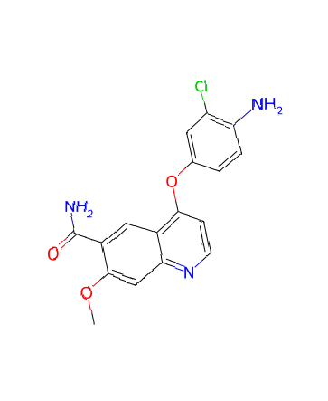 COc1cc2nccc(Oc3ccc(N)c(Cl)c3)c2cc1C(N)=O